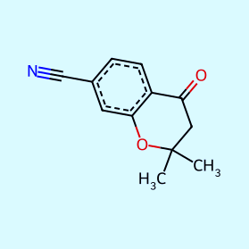 CC1(C)CC(=O)c2ccc(C#N)cc2O1